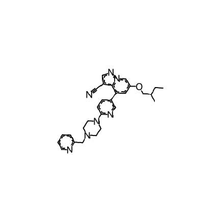 CCC(C)COc1cc(-c2ccc(N3CCN(Cc4ccccn4)CC3)nc2)c2c(C#N)cnn2c1